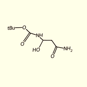 CC(C)(C)OC(=O)NC(O)CC(N)=O